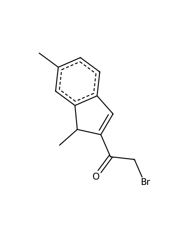 Cc1ccc2c(c1)C(C)C(C(=O)CBr)=C2